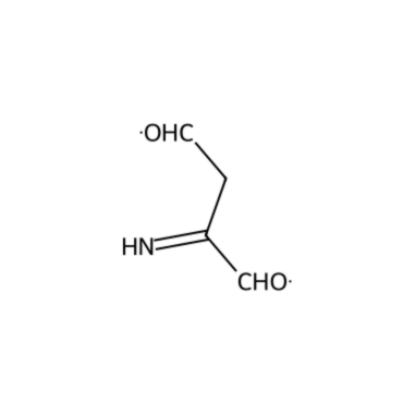 N=C([C]=O)C[C]=O